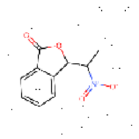 CC(C1OC(=O)c2ccccc21)[N+](=O)[O-]